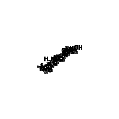 Cc1nc2c(s1)c1cnn(Cc3ccc(-n4ncc5c(Cn6ncc7c8sc(C(C)O)nc8n(C)c7c6=O)cccc54)c(N)c3)c(=O)c1n2C